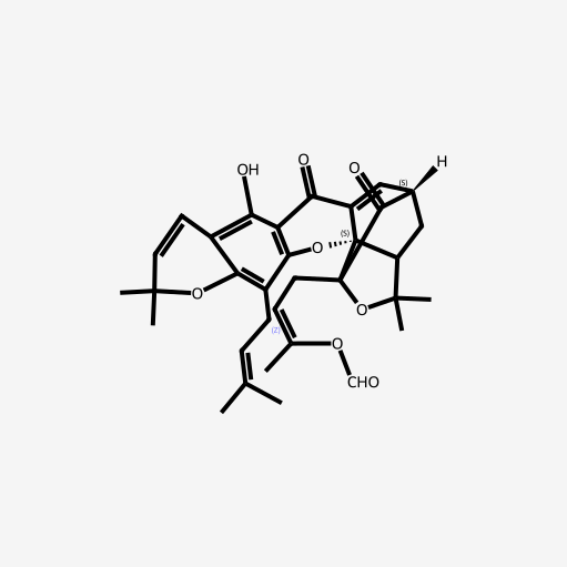 CC(C)=CCc1c2c(c(O)c3c1O[C@]14C(=C[C@@H]5CC1C(C)(C)OC4(C/C=C(/C)OC=O)C5=O)C3=O)C=CC(C)(C)O2